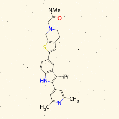 CNC(=O)CN1CCc2cc(-c3ccc4[nH]c(-c5cc(C)nc(C)c5)c(C(C)C)c4c3)sc2C1